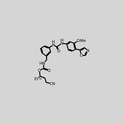 CC[C@H](CCC#N)OC(=O)NCc1cccc(NC(=O)Nc2ccc(-c3cnco3)c(OC)c2)c1